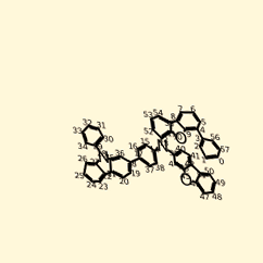 c1ccc(-c2cccc3c2oc2c(N(c4ccc(-c5ccc6c7ccccc7n(-c7ccccc7)c6c5)cc4)c4ccc5c(c4)oc4ccccc45)cccc23)cc1